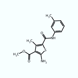 COC(=O)c1c(N)sc(C(=O)Nc2cccc(C)c2)c1C